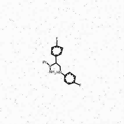 CC(C)N(N)C(CNc1ccc(F)cc1)c1ccc(F)cc1